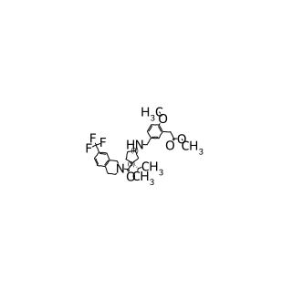 COC(=O)Cc1cc(CN[C@@H]2CC[C@@](C(=O)N3CCc4ccc(C(F)(F)F)cc4C3)(C(C)C)C2)ccc1OC